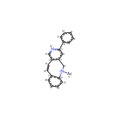 CC(=O)N1Cc2cc(-c3ccccc3)ncc2C=Cc2ccccc21